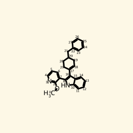 COc1ncccc1-c1[nH]c2ccccc2c1C1=CCC(Cc2ccccc2)CC1